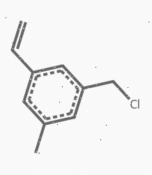 [CH2]c1cc(C=C)cc(CCl)c1